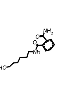 NC(=O)c1ccccc1C(=O)NCCCCCCO